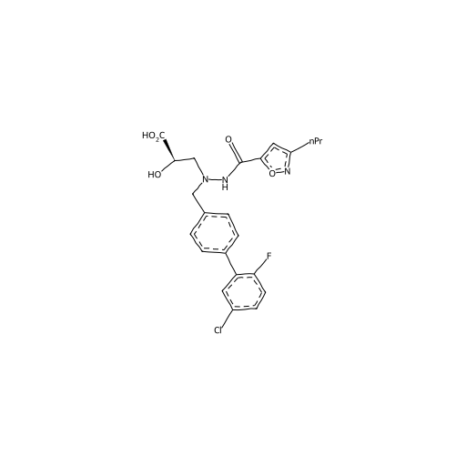 CCCc1cc(C(=O)NN(Cc2ccc(-c3cc(Cl)ccc3F)cc2)C[C@@H](O)C(=O)O)on1